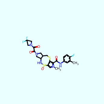 Cc1cc(NC(=O)c2c3c(cn2C)[S+]([O-])NC2CN(C(=O)C(=O)N4CC(F)(F)C4)CC2CS3)ccc1F